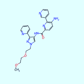 COCCOCCn1cc(NC(=O)c2ccc(N)c(-c3cccnc3)n2)c(-c2ccccn2)n1